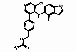 Cc1c(Nc2c(C#N)cncc2-c2ccc(CNC(N)=O)cc2)ccc2[nH]ccc12